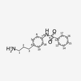 NCCCc1ccc(NS(=O)(=O)c2ccccc2)cc1